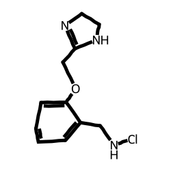 ClNCc1ccccc1OCC1=NCCN1